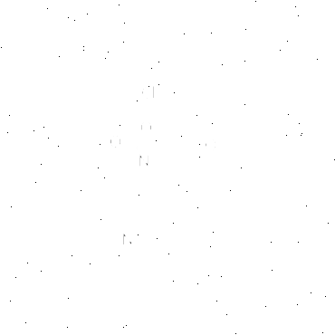 COc1ccc2c(CCN(C)C)cn(C(=O)OCCl)c2c1